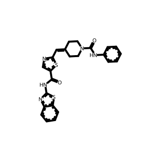 O=C(Nc1nc2ccccc2s1)c1cnc(C=C2CCN(C(=O)Nc3ccccc3)CC2)s1